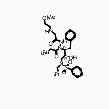 COCCNCC(=O)NN(C(=O)CC(C)(C)C)[C@@H](Cc1ccccc1)[C@H](O)CN(CC(C)C)S(=O)(=O)c1ccccc1